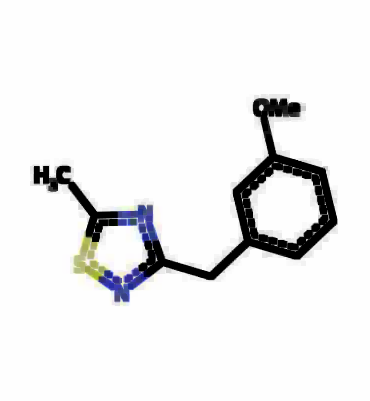 COc1cccc(Cc2nsc(C)n2)c1